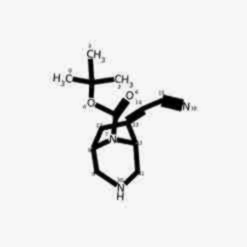 CC(C)(C)OC(=O)N1C2CNCC1C(=CC#N)C2